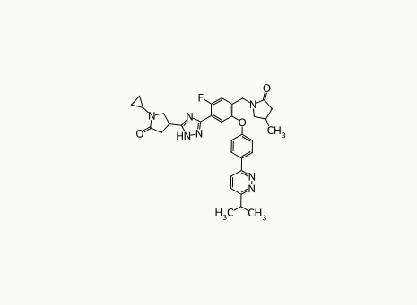 CC1CC(=O)N(Cc2cc(F)c(-c3n[nH]c(C4CC(=O)N(C5CC5)C4)n3)cc2Oc2ccc(-c3ccc(C(C)C)nn3)cc2)C1